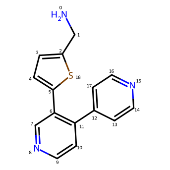 NCc1ccc(-c2cnccc2-c2ccncc2)s1